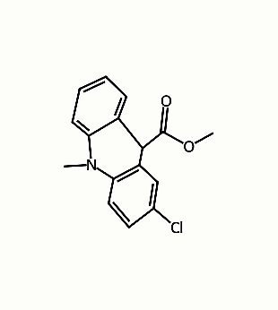 COC(=O)C1c2ccccc2N(C)c2ccc(Cl)cc21